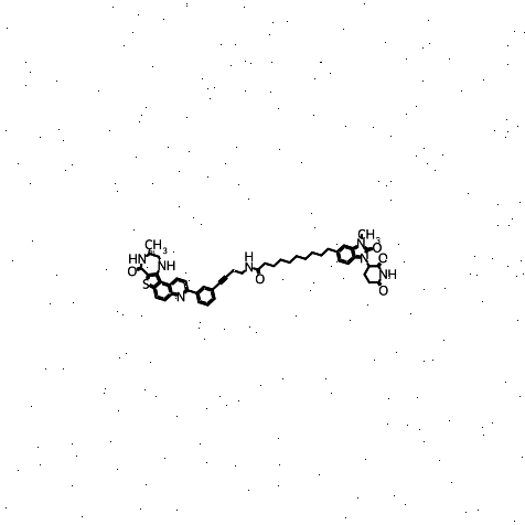 C[C@@H]1CNc2c(sc3ccc4nc(-c5cccc(C#CCCNC(=O)CCCCCCCCCc6ccc7c(c6)n(C)c(=O)n7C6CCC(=O)NC6=O)c5)ccc4c23)C(=O)N1